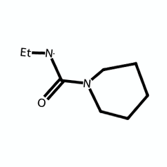 CC[N]C(=O)N1CCCCC1